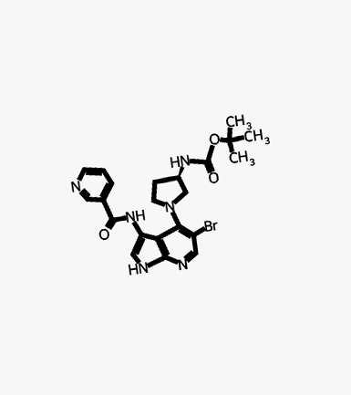 CC(C)(C)OC(=O)N[C@@H]1CCN(c2c(Br)cnc3[nH]cc(NC(=O)c4cccnc4)c23)C1